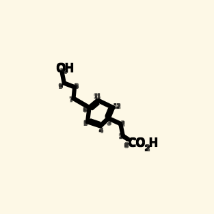 O=C(O)CCc1ccc(CCCO)cc1